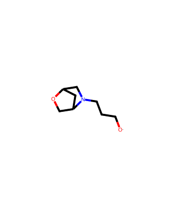 [O]CCCN1CC2CC1CO2